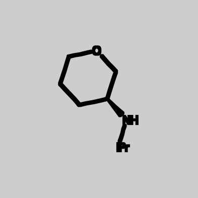 CC(C)N[C@H]1CCCOC1